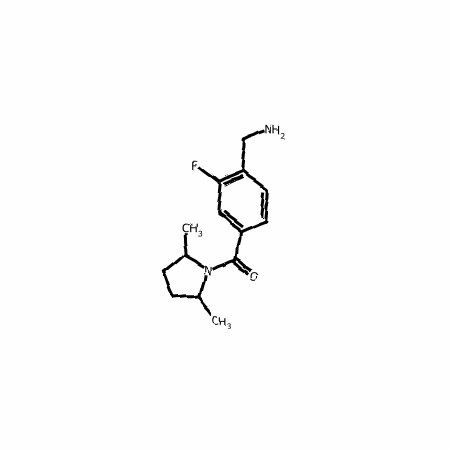 CC1CCC(C)N1C(=O)c1ccc(CN)c(F)c1